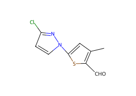 Cc1cc(-n2ccc(Cl)n2)sc1C=O